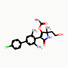 Cc1cc(-c2ccc(Cl)cc2)cc(C)c1C1=C(OC(=O)C(C)(C)C)C(C)(CCO)NC1=O